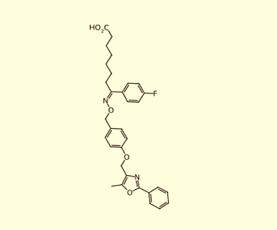 Cc1oc(-c2ccccc2)nc1COc1ccc(CO/N=C(/CCCCCCC(=O)O)c2ccc(F)cc2)cc1